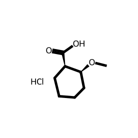 CO[C@H]1CCCC[C@H]1C(=O)O.Cl